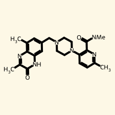 CNC(=O)c1nc(C)ccc1N1CCN(Cc2cc(C)c3nc(C)c(=O)[nH]c3c2)CC1